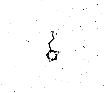 N[CH]Cc1cnc[nH]1